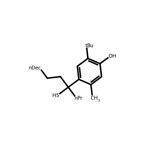 CCCCCCCCCCCCC(S)(CCC)c1cc(C(C)(C)C)c(O)cc1C